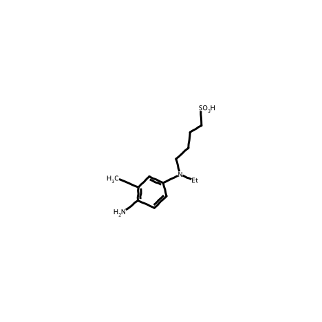 CCN(CCCCS(=O)(=O)O)c1ccc(N)c(C)c1